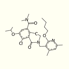 CCCCOc1nc(C)cc(C)c1CN1CCc2c(C(=O)N(C)C)cc(OC(C)C)c(Cl)c2C1=O